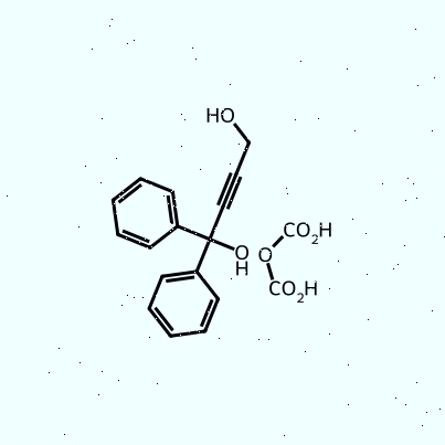 O=C(O)OC(=O)O.OCC#CC(O)(c1ccccc1)c1ccccc1